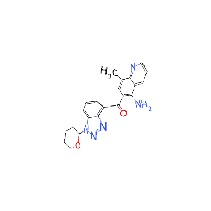 Cc1cc(C(=O)c2cccc3c2nnn3C2CCCCO2)c(N)c2cccnc12